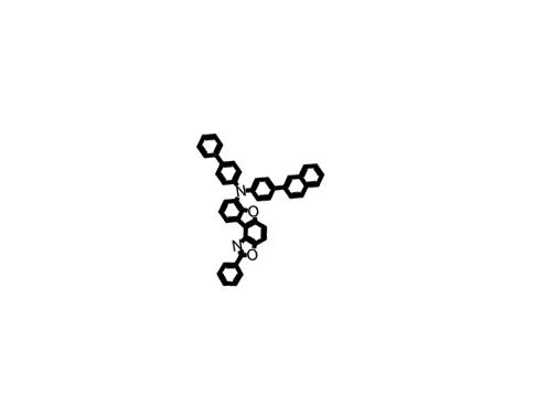 c1ccc(-c2ccc(N(c3ccc(-c4ccc5ccccc5c4)cc3)c3cccc4c3oc3ccc5oc(-c6ccccc6)nc5c34)cc2)cc1